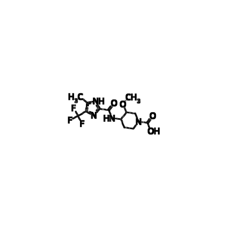 COC1CN(C(=O)O)CCC1NC(=O)c1nc(C(F)(F)F)c(C)[nH]1